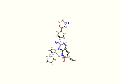 C#Cc1cc2cnc(Nc3ccc(C4CNCCO4)cc3)nc2n(Cc2cccn2C2=CCCC2)c1=O